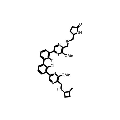 COc1nc(-c2cccc(-c3cccc(-c4cnc(CN[C@@H]5CCC5C)c(OC)n4)c3Cl)c2Cl)cnc1CNCC1CCC(=O)N1